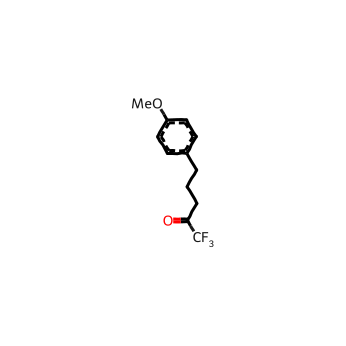 COc1ccc(CCCC(=O)C(F)(F)F)cc1